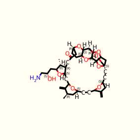 C=C1C[C@@H]2CC[C@@]34CC5O[C@H]6[C@@H](O3)[C@H]3O[C@H](CC[C@@H]3O[C@H]6[C@H]5O4)CC(=O)C[C@H]3[C@H](CC4O[C@@H](CCC1O2)C[C@@H](C)C4=C)OC(C[C@H](O)CN)[C@@H]3C